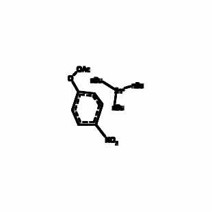 CC(=O)OOc1ccc([N+](=O)[O-])cc1.CCC[CH2][Sn+]([CH2]CCC)[CH2]CCC